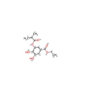 C=C(C)C(=O)Oc1cc(C(=O)OCC)cc(O)c1O